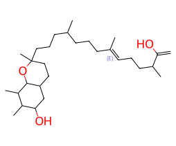 C=C(O)C(C)CC/C=C(\C)CCCC(C)CCCC1(C)CCC2CC(O)C(C)C(C)C2O1